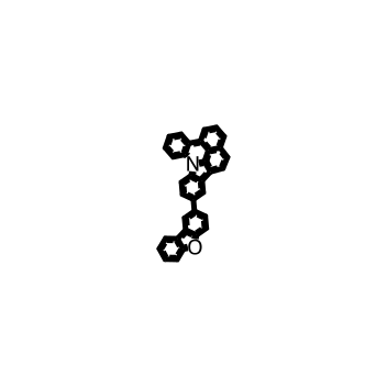 c1ccc2c(c1)oc1ccc(-c3ccc4c(c3)c3ccc5cccc6c7ccccc7n4c3c56)cc12